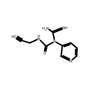 C#CCNC(=O)N(C(=N)N)c1cccnc1